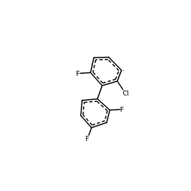 Fc1ccc(-c2c(Cl)[c]ccc2F)c(F)c1